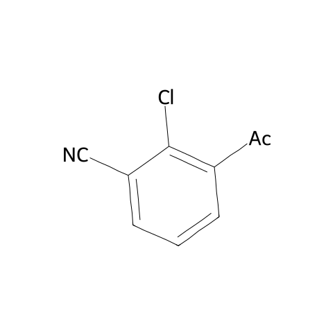 CC(=O)c1cccc(C#N)c1Cl